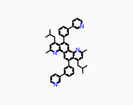 Cc1cc(CC(C)C)c2c(-c3cccc(-c4cccnc4)c3)cc3c(cc(-c4cccc(-c5cccnc5)c4)c4c(CC(C)C)cc(C)nc43)c2n1